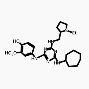 CCN1CCCC1CNc1nc(Nc2ccc(O)c(C(=O)O)c2)nc(NC2CCCCCC2)n1